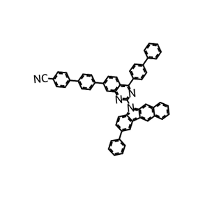 N#Cc1ccc(-c2ccc(-c3ccc4c(-c5ccc(-c6ccccc6)cc5)nc(-n5c6ccc(-c7ccccc7)cc6c6cc7ccccc7cc65)nc4c3)cc2)cc1